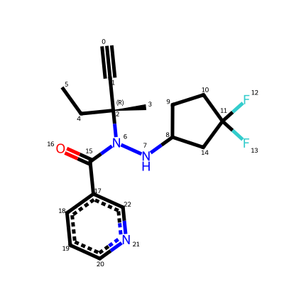 C#C[C@@](C)(CC)N(NC1CCC(F)(F)C1)C(=O)c1cccnc1